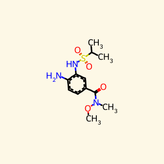 CON(C)C(=O)c1ccc(N)c(NS(=O)(=O)C(C)C)c1